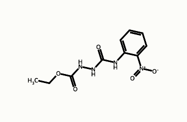 CCOC(=O)NNC(=O)Nc1ccccc1[N+](=O)[O-]